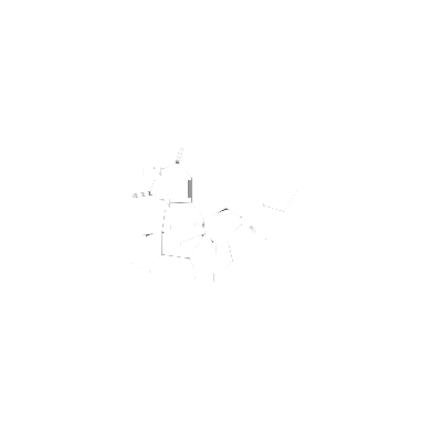 CCOP(=O)(C[C@@H]1c2cc(=O)[nH]c(=O)n2[C@@H]2O[C@H]1C(O)C2OC)OCC